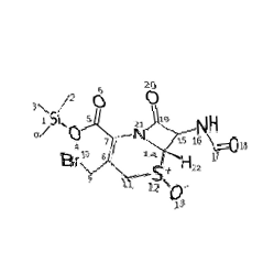 C[Si](C)(C)OC(=O)C1=C(CBr)C[S+]([O-])[C@H]2C(NC=O)C(=O)N12